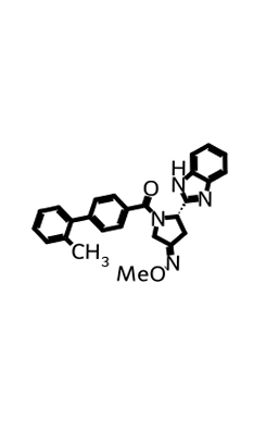 CON=C1C[C@@H](c2nc3ccccc3[nH]2)N(C(=O)c2ccc(-c3ccccc3C)cc2)C1